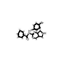 O=C(NC1=N[C@@]2(c3cc(Br)ccc3F)CNCC2CS1)c1ccccc1